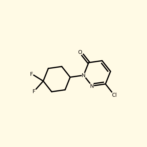 O=c1ccc(Cl)nn1C1CCC(F)(F)CC1